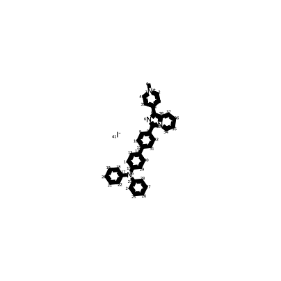 C[n+]1ccc(-c2nc(-c3ccc(-c4ccc(N(c5ccccc5)c5ccccc5)cc4)cc3)n3ccccc23)cc1.[I-]